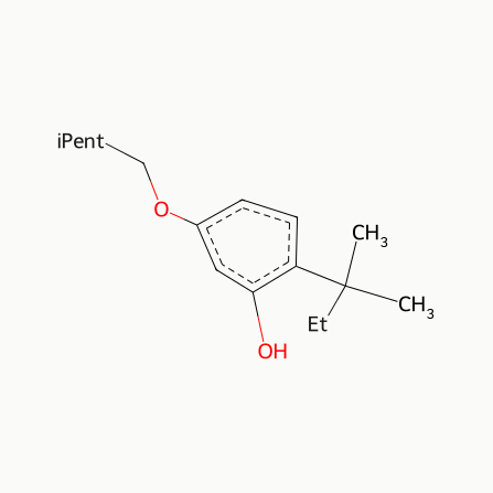 CCCC(C)COc1ccc(C(C)(C)CC)c(O)c1